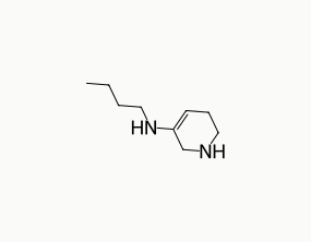 CCCCNC1=CCCNC1